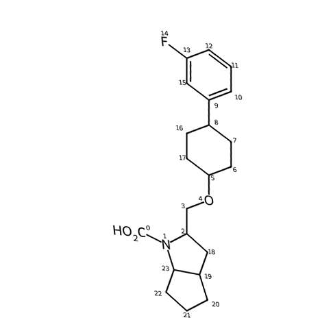 O=C(O)N1C(COC2CCC(c3cccc(F)c3)CC2)CC2CCCC21